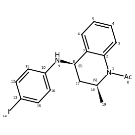 CC(=O)N1c2ccccc2[C@H](Nc2ccc(I)cc2)C[C@@H]1C